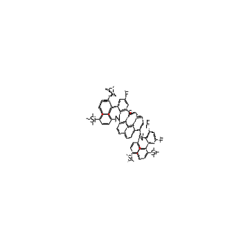 C[Si](C)(C)c1ccc(N(c2c(F)cc(F)cc2-c2ccccc2[Si](C)(C)C)c2ccc3ccc4c(N(c5ccc([Si](C)(C)C)cc5)c5c(F)cc(F)cc5-c5ccccc5[Si](C)(C)C)ccc5ccc2c3c54)cc1